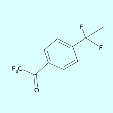 CC(F)(F)c1ccc(C(=O)C(F)(F)F)cc1